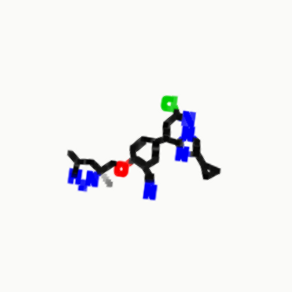 CC(C)C[C@](C)(N)COc1ccc(-c2cc(Cl)nn3cc(C4CC4)nc23)cc1C#N